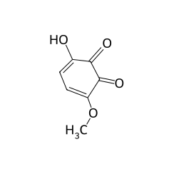 COC1=CC=C(O)C(=O)C1=O